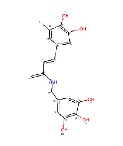 C=C(/C=C/c1cc(O)c(O)c(I)c1)NCc1cc(O)c(O)c(O)c1